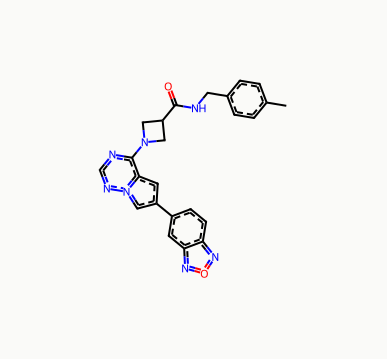 Cc1ccc(CNC(=O)C2CN(c3ncnn4cc(-c5ccc6nonc6c5)cc34)C2)cc1